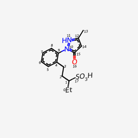 CCC(CCc1ccccc1-n1[nH]c(C)cc1=O)S(=O)(=O)O